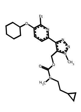 CCc1nc(-c2nnn(C)c2COC(=O)N(C)CCC2CC2)ccc1OC1CCCCC1